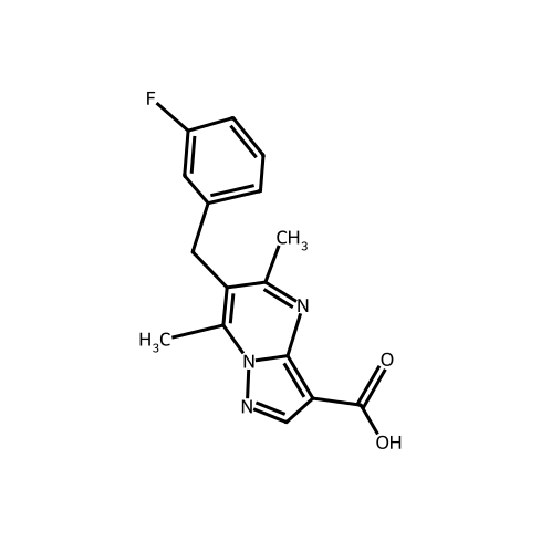 Cc1nc2c(C(=O)O)cnn2c(C)c1Cc1cccc(F)c1